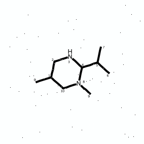 CC1CNC(C(C)C)N(C)C1